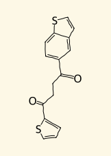 O=C(CCC(=O)c1cccs1)c1ccc2sccc2c1